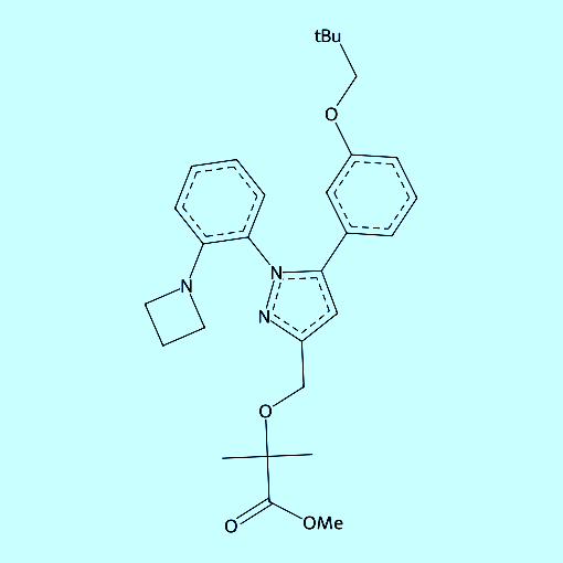 COC(=O)C(C)(C)OCc1cc(-c2cccc(OCC(C)(C)C)c2)n(-c2ccccc2N2CCC2)n1